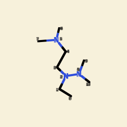 CCN(CCN(C)C)N(C)C